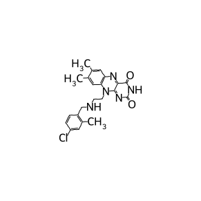 Cc1cc2nc3c(=O)[nH]c(=O)nc-3n(CCNCc3ccc(Cl)cc3C)c2cc1C